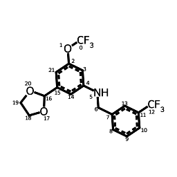 FC(F)(F)Oc1cc(NCc2cccc(C(F)(F)F)c2)cc(C2OCCO2)c1